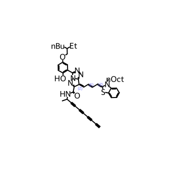 C#CC#CC#CC#CC(C)NC(=O)c1nn2c(-c3cc(OCC(CC)CCCC)ccc3O)nnc2\c1=C/C=C/C=C1\Sc2ccccc2N1CCCCCCCC